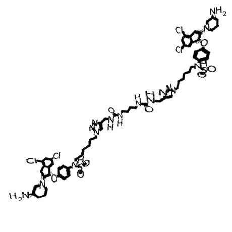 N[C@@H]1CCCN([C@H]2Cc3c(Cl)cc(Cl)cc3[C@@H]2Oc2ccc(N(CCCCCCn3cc(CNC(=O)NCCCCNC(=O)NCc4cn(CCCCCCN(c5ccc(O[C@H]6c7cc(Cl)cc(Cl)c7C[C@@H]6N6CCC[C@@H](N)C6)cc5)[SH](=O)=O)nn4)nn3)[SH](=O)=O)cc2)C1